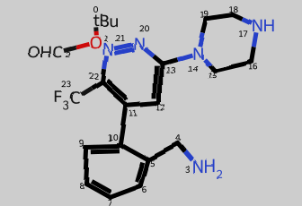 CC(C)(C)OC=O.NCc1ccccc1-c1cc(N2CCNCC2)nnc1C(F)(F)F